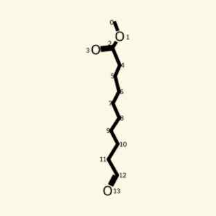 COC(=O)CCCCCCCCC=O